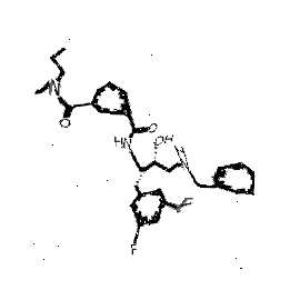 CCCN(C)C(=O)c1cccc(C(=O)N[C@@H](Cc2cc(F)cc(F)c2)[C@H](O)CNCc2ccccc2)c1